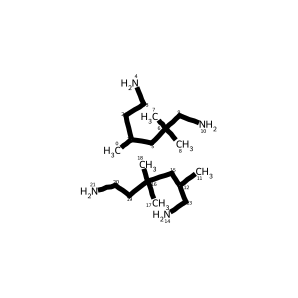 CC(CCN)CC(C)(C)CN.CC(CN)CC(C)(C)CCN